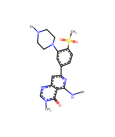 CCN1CCN(c2cc(-c3cc4ncn(C)c(=O)c4c(NC(C)C)n3)ccc2S(C)(=O)=O)CC1